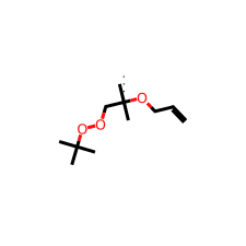 [C]C(C)(COOC(C)(C)C)OCC=C